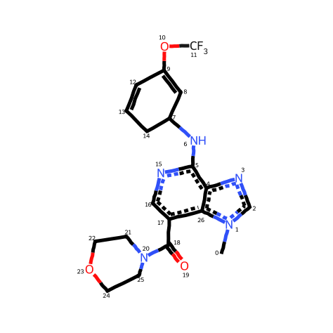 Cn1cnc2c(NC3C=C(OC(F)(F)F)C=CC3)ncc(C(=O)N3CCOCC3)c21